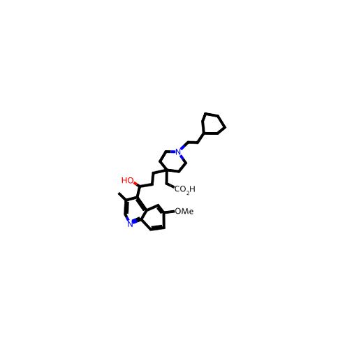 COc1ccc2ncc(C)c(C(O)CCC3(CC(=O)O)CCN(CCC4CCCCC4)CC3)c2c1